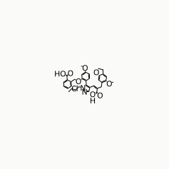 CCCCn1ncc(C=C(Cc2cc3c(cc2OC)CCO3)C(=O)O)c1-c1ccc(OC)cc1OCc1c(Cl)cccc1C(=O)O